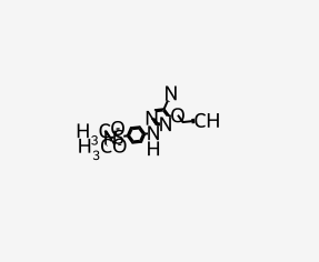 C#CCOc1nc(Nc2ccc(S(=O)(=O)N(C)C)cc2)ncc1C#N